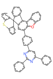 c1ccc(-c2cc(-c3ccc(-c4cc5c(c6c4oc4ccccc46)-c4ccccc4C54c5ccccc5Sc5ccccc54)cc3)nc(-c3ccccc3)n2)cc1